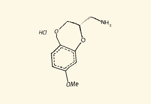 COc1ccc2c(c1)O[C@@H](CN)CO2.Cl